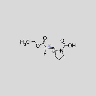 CCOC(=O)/C(F)=C/[C@@H]1CCCN1C(=O)O